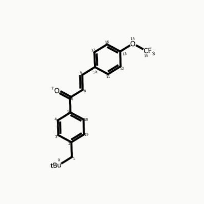 CC(C)(C)Cc1ccc(C(=O)C=Cc2ccc(OC(F)(F)F)cc2)cc1